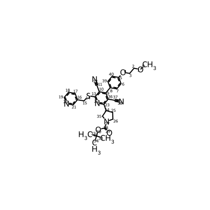 COCCOc1ccc(-c2c(C#N)c(SCc3cccnc3)nc(C3CCN(C(=O)OC(C)(C)C)C3)c2C#N)cc1